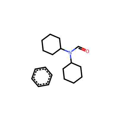 O=CN(C1CCCCC1)C1CCCCC1.c1ccccc1